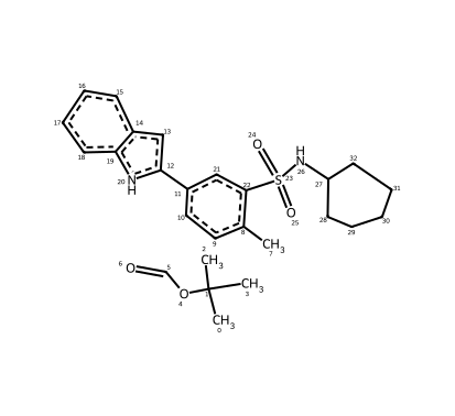 CC(C)(C)OC=O.Cc1ccc(-c2cc3ccccc3[nH]2)cc1S(=O)(=O)NC1CCCCC1